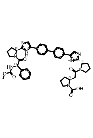 COC(=O)N[C@@H](C(=O)N1CCC[C@H]1c1ncc(-c2ccc(-c3ccc(-c4cnc([C@@H]5CCCN5C(=O)C[C@@H]5CCCN5C(=O)O)[nH]4)cc3)cc2)[nH]1)c1ccccc1